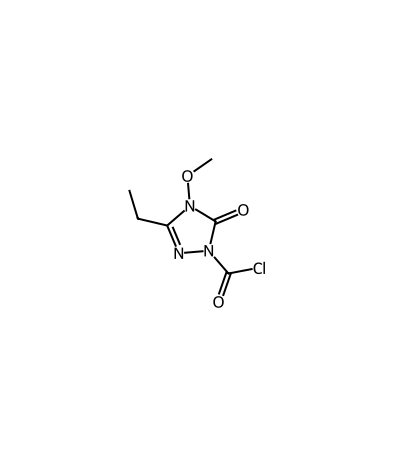 CCc1nn(C(=O)Cl)c(=O)n1OC